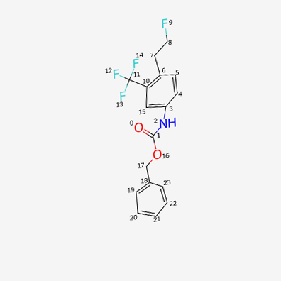 O=C(Nc1ccc(CCF)c(C(F)(F)F)c1)OCc1ccccc1